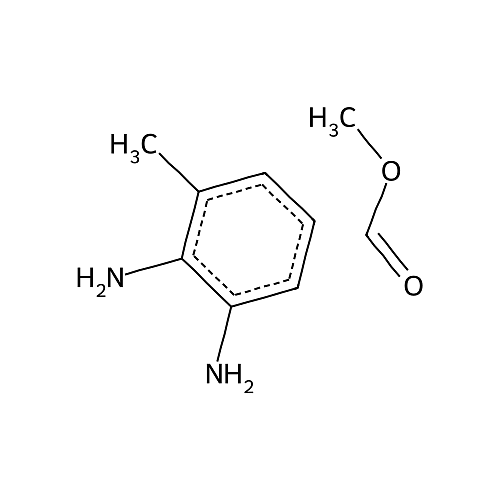 COC=O.Cc1cccc(N)c1N